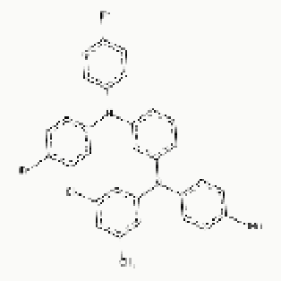 Cc1cc(Cl)cc(N(c2ccc(C(C)(C)C)cc2)c2cccc(N(c3ccc(C(C)C)cc3)c3ccc(C(C)C)cc3)c2)c1